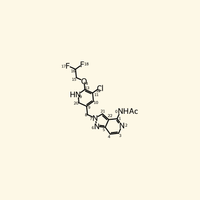 CC(=O)Nc1nccc2nn(CC3=CC(Cl)=C(OCC(F)F)NC3)cc12